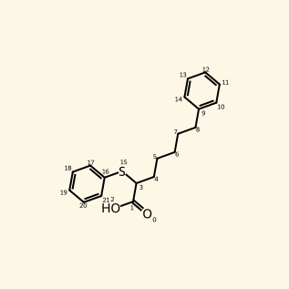 O=C(O)C(CCCCCc1ccccc1)Sc1ccccc1